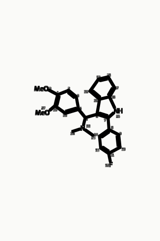 COc1ccc(C(c2c(-c3ccc(F)cc3)[nH]c3ccccc23)N(C)C)cc1OC